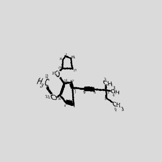 CCC(C)(O)C#Cc1ccc(OC)c(OC2CCCC2)c1